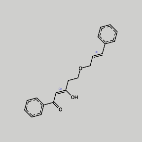 O=C(/C=C(\O)CCOC/C=C/c1ccccc1)c1ccccc1